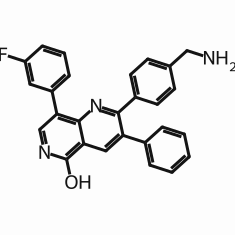 NCc1ccc(-c2nc3c(-c4cccc(F)c4)cnc(O)c3cc2-c2ccccc2)cc1